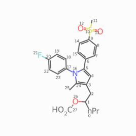 CCCC(Cc1cc(-c2ccc(S(C)(=O)=O)cc2)n(-c2ccc(F)cc2)c1C)OC(=O)O